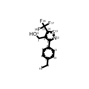 OCc1c(-c2ccc(CI)cc2)nsc1C(F)(F)F